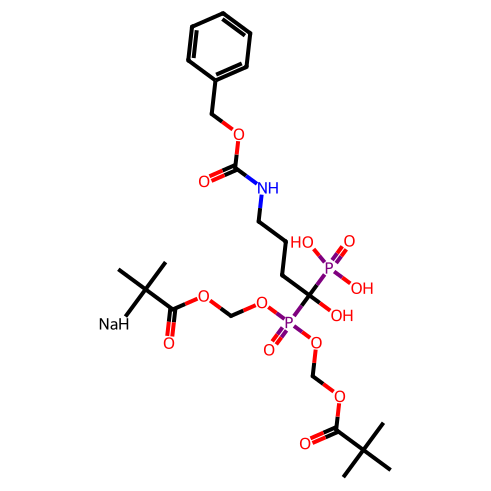 CC(C)(C)C(=O)OCOP(=O)(OCOC(=O)C(C)(C)C)C(O)(CCCNC(=O)OCc1ccccc1)P(=O)(O)O.[NaH]